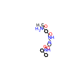 CC(=O)C(N)c1ccc(C(=O)CNCCN2CCC(OC(=O)Nc3ccccc3-c3ccccc3)CC2)cc1